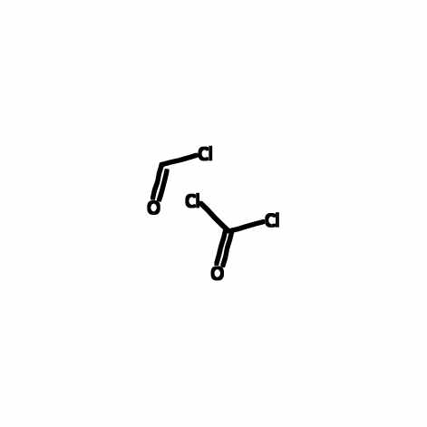 O=C(Cl)Cl.O=CCl